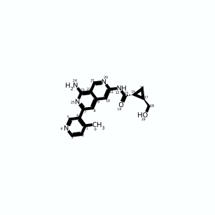 Cc1ccncc1-c1cc2cc(NC(=O)[C@@H]3C[C@H]3CO)ncc2c(N)n1